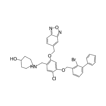 OC1CCC(NCc2cc(Cl)c(OCc3cccc(-c4ccccc4)c3Br)cc2OCc2ccc3nonc3c2)CC1